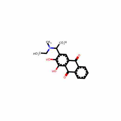 CN(CC(=O)O)C(C(=O)O)c1cc2c(c(O)c1O)C(=O)c1ccccc1C2=O